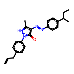 C=CCc1ccc(-n2[nH]c(C)c(/N=N/c3ccc(C(C)CC)cc3)c2=O)cc1